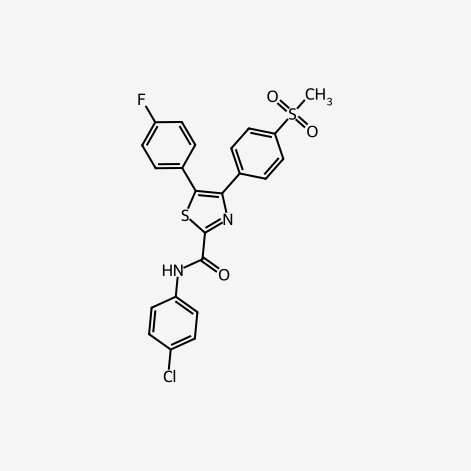 CS(=O)(=O)c1ccc(-c2nc(C(=O)Nc3ccc(Cl)cc3)sc2-c2ccc(F)cc2)cc1